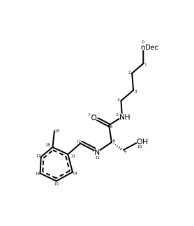 CCCCCCCCCCCCCCNC(=O)[C@H](CO)N=Cc1ccccc1C